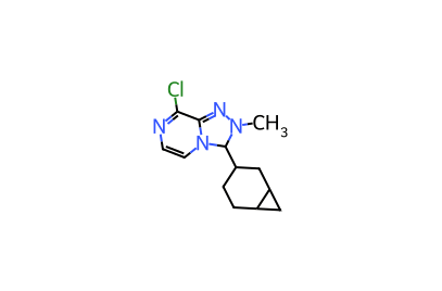 CN1N=C2C(Cl)=NC=CN2C1C1CCC2CC2C1